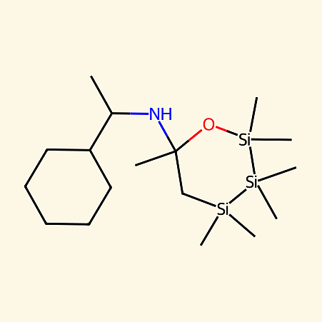 CC(NC1(C)C[Si](C)(C)[Si](C)(C)[Si](C)(C)O1)C1CCCCC1